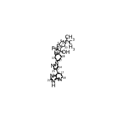 CC(C)N1CCC(C(O)(c2ccc(-n3cc(-c4ccnc5[nH]cnc45)cn3)cc2)C(F)(F)F)C1